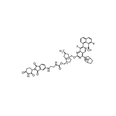 C#Cc1c(F)ccc2cccc(-c3ncc4c(N5CC6CCC(C5)N6)nc(OC[C@@]56CC[C@@H](COC(=O)NCCNc7ccc8c(c7)C(=O)N(C7CCC(=O)NC7=O)C8=O)N5CC(=C)C6)nc4c3F)c12